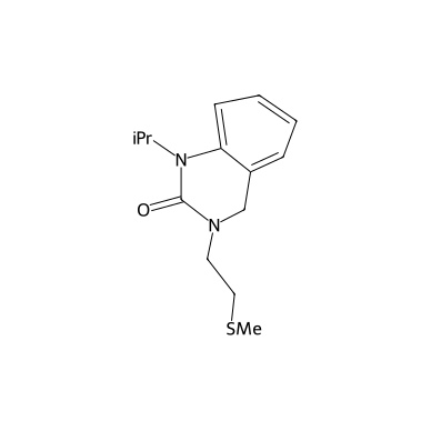 CSCCN1Cc2ccccc2N(C(C)C)C1=O